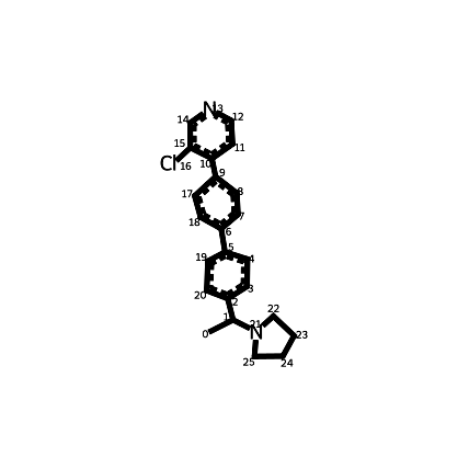 CC(c1ccc(-c2ccc(-c3ccncc3Cl)cc2)cc1)N1CCCC1